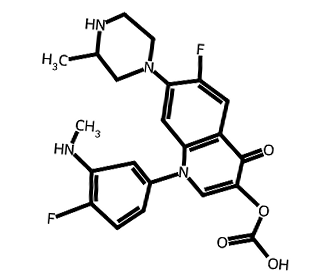 CNc1cc(-n2cc(OC(=O)O)c(=O)c3cc(F)c(N4CCNC(C)C4)cc32)ccc1F